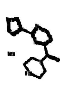 Cl.O=C(c1ccnc(-n2ccnc2)n1)N1CCNCC1